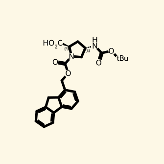 CC(C)(C)OC(=O)N[C@H]1C[C@H](C(=O)O)N(C(=O)OCc2cccc3c2Cc2ccccc2-3)C1